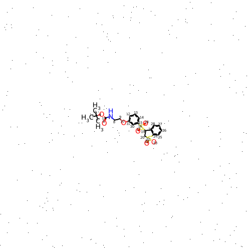 CC(C)(C)OC(=O)NCCOc1cccc(S(=O)(=O)C2CS(=O)(=O)c3ccccc32)c1